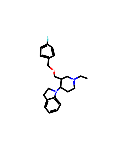 CCN1CCC(N2CCc3ccccc32)C(COCc2ccc(F)cc2)C1